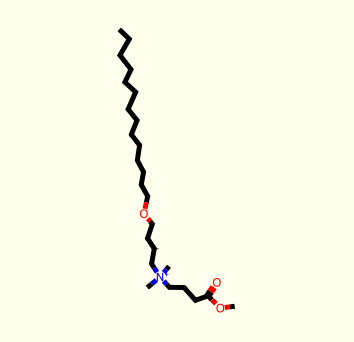 CCCCCCCCCCCCCCOCC[CH]C[N+](C)(C)CCCC(=O)OC